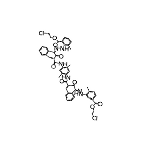 Cc1ccc(C(=O)OCCCl)cc1N/N=C1/C(=O)C(C(=O)Nc2cc(C)c(NC(=O)C3=Cc4ccccc4/C(=N/Nc4c(C)cccc4C(=O)OCCCl)C3=O)cc2C)=Cc2ccccc21